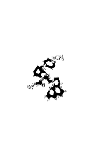 CN1CCN(c2cccc3c2nc(CN2CCCC4CCc5cccnc5C42)n3C(=O)OC(C)(C)C)CC1